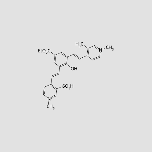 CCOC(=O)c1cc(/C=C/c2cc[n+](C)cc2C)c(O)c(/C=C/c2cc[n+](C)cc2S(=O)(=O)O)c1